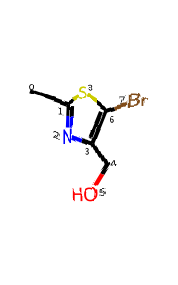 Cc1nc(CO)c(Br)s1